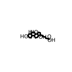 C[C@]12CCC3C(CC[C@@H]4C[C@@H](O)CC[C@]34C)[C@@]1(O)CC[C@]2(O)/C=C/C=C/C(=O)O